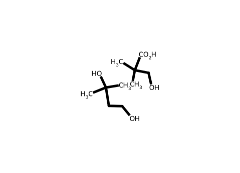 CC(C)(CO)C(=O)O.CC(C)(O)CCO